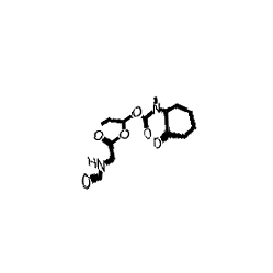 CCC(OC(=O)CNC=O)OC(=O)N(C)C1CCCCC1=O